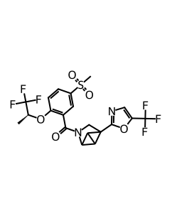 C[C@H](Oc1ccc(S(C)(=O)=O)cc1C(=O)N1CC2(c3ncc(C(F)(F)F)o3)C3C1C32)C(F)(F)F